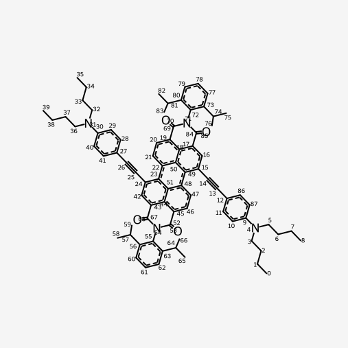 CCCCN(CCCC)c1ccc(C#Cc2cc3c4c(ccc5c6c(C#Cc7ccc(N(CCCC)CCCC)cc7)cc7c8c(ccc(c2c45)c86)C(=O)N(c2c(C(C)C)cccc2C(C)C)C7=O)C(=O)N(c2c(C(C)C)cccc2C(C)C)C3=O)cc1